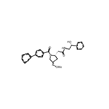 CO/N=C1\C[C@@H](CC(=O)NC[C@H](O)c2ccccc2)N(C(=O)c2ccc(-c3ccccc3)cc2)C1